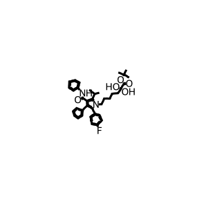 CC(C)c1c(C(=O)Nc2ccccc2)c(-c2ccccc2)c(-c2ccc(F)cc2)n1CCCCCC(O)(O)C(=O)OC(C)(C)C